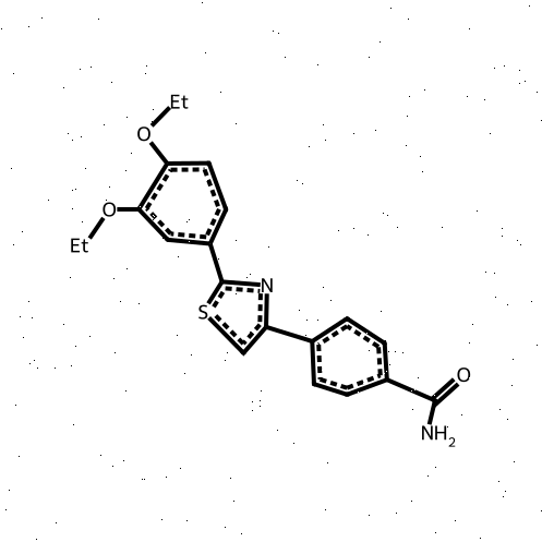 CCOc1ccc(-c2nc(-c3ccc(C(N)=O)cc3)cs2)cc1OCC